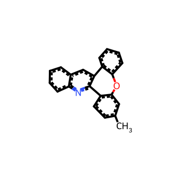 Cc1ccc2c(c1)Oc1ccccc1-c1cc3ccccc3nc1-2